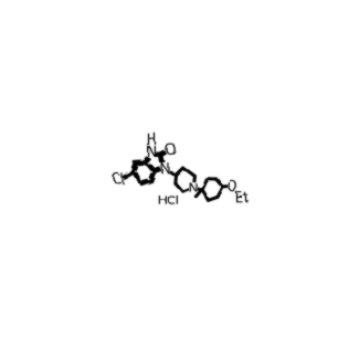 CCOC1CCC(C)(N2CCC(n3c(=O)[nH]c4cc(Cl)ccc43)CC2)CC1.Cl